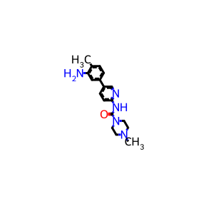 Cc1ccc(-c2ccc(NC(=O)N3CCN(C)CC3)nc2)cc1N